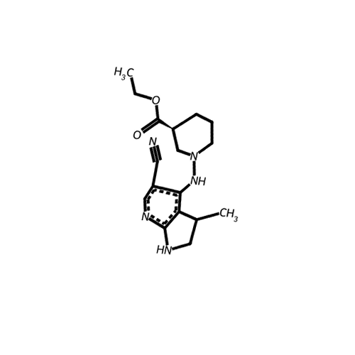 CCOC(=O)[C@H]1CCCN(Nc2c(C#N)cnc3c2C(C)CN3)C1